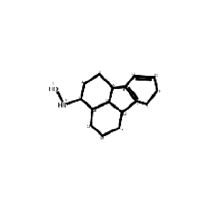 OBC1CCC2C3=C(CCC=C3)C3CCCC1C23